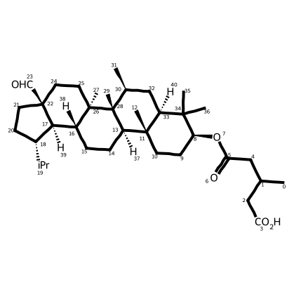 CC(CC(=O)O)CC(=O)O[C@H]1CC[C@]2(C)[C@H]3CC[C@@H]4[C@H]5[C@H](C(C)C)CC[C@]5(C=O)CC[C@@]4(C)[C@]3(C)[C@@H](C)C[C@H]2C1(C)C